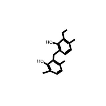 CCc1c(C)ccc(Cc2c(C)ccc(C)c2O)c1O